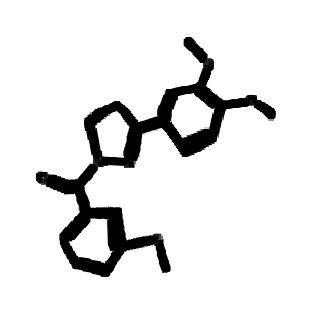 COc1cccc(C(=O)N2CCC(c3ccc(OC)c(OC)c3)=N2)c1